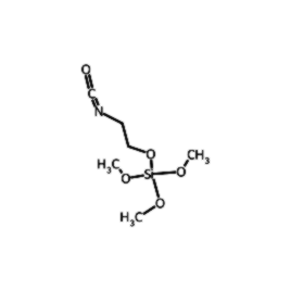 CO[Si](OC)(OC)OCCN=C=O